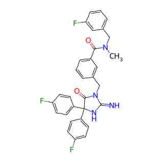 CN(Cc1cccc(F)c1)C(=O)c1cccc(CN2C(=N)NC(c3ccc(F)cc3)(c3ccc(F)cc3)C2=O)c1